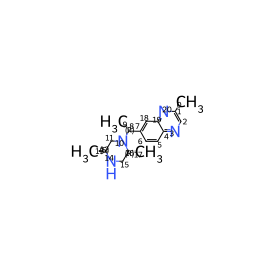 Cc1cnc2ccc([C@@H](C)N3C[C@H](C)NC[C@H]3C)cc2n1